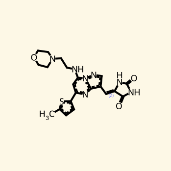 Cc1ccc(-c2cc(NCCN3CCOCC3)n3ncc(/C=C4\NC(=O)NC4=O)c3n2)s1